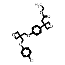 CCOC(=O)CC1(c2ccc(OCC3(COc4ccc(Cl)cc4)COC3)cc2)COC1